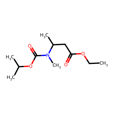 CCOC(=O)CC(C)N(C)C(=O)OC(C)C